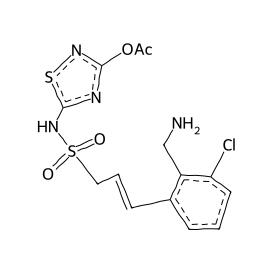 CC(=O)Oc1nsc(NS(=O)(=O)CC=Cc2cccc(Cl)c2CN)n1